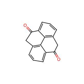 O=C1Cc2cccc3c2-c2c(cccc21)CC3=O